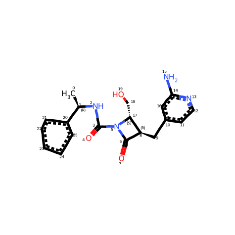 C[C@@H](NC(=O)N1C(=O)[C@H](Cc2ccnc(N)c2)[C@H]1CO)c1ccccc1